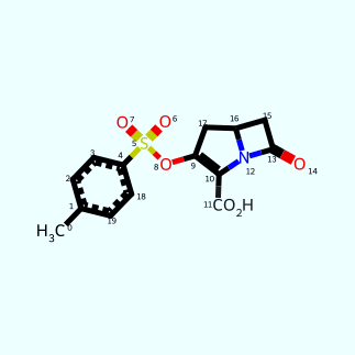 Cc1ccc(S(=O)(=O)OC2=C(C(=O)O)N3C(=O)CC3C2)cc1